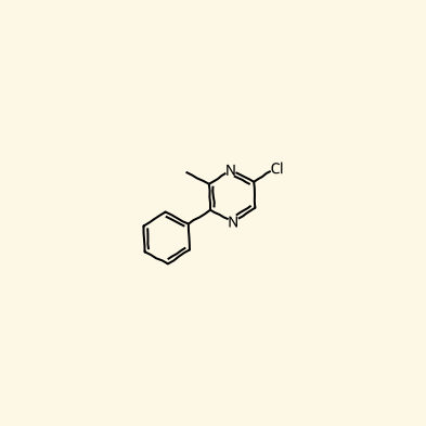 Cc1nc(Cl)cnc1-c1ccccc1